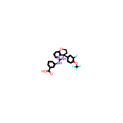 O=C(Nc1cccc(C(=O)O)c1)N[C@]1(c2ccc(OC(F)(F)F)c(F)c2)CCOc2cccnc21